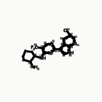 NC1CCCCC1Nc1nc(-c2c[nH]c3ncc(Cl)cc23)ncc1C(F)(F)F